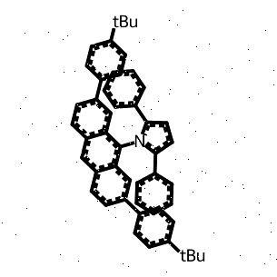 CC(C)(C)c1ccc(-c2ccc3cc4ccc(-c5ccc(C(C)(C)C)cc5)cc4c(-n4c(-c5ccccc5)ccc4-c4ccccc4)c3c2)cc1